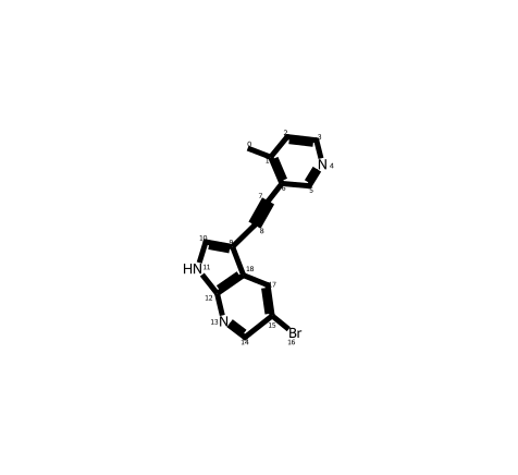 Cc1ccncc1C#Cc1c[nH]c2ncc(Br)cc12